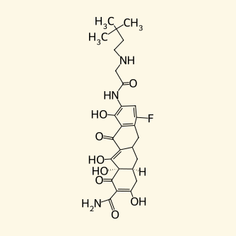 CC(C)(C)CCNCC(=O)Nc1cc(F)c2c(c1O)C(=O)C1=C(O)[C@]3(O)C(=O)C(C(N)=O)=C(O)C[C@@H]3CC1C2